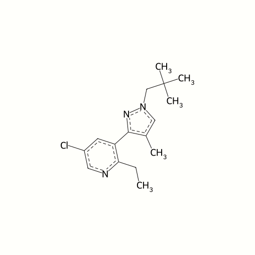 CCc1ncc(Cl)cc1-c1nn(CC(C)(C)C)cc1C